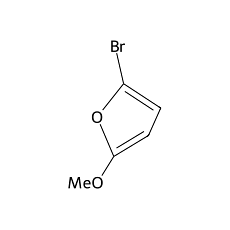 COc1ccc(Br)o1